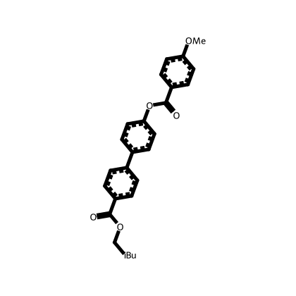 CCC(C)COC(=O)c1ccc(-c2ccc(OC(=O)c3ccc(OC)cc3)cc2)cc1